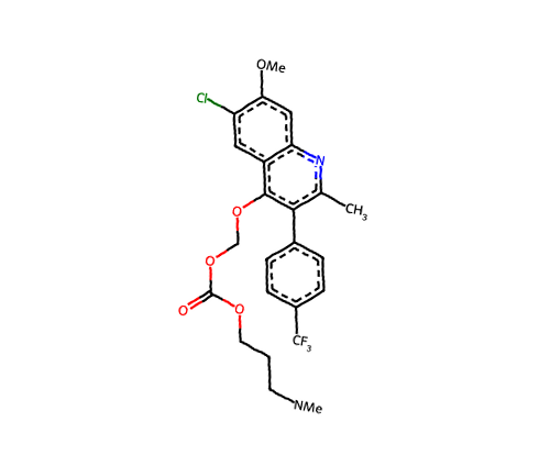 CNCCCOC(=O)OCOc1c(-c2ccc(C(F)(F)F)cc2)c(C)nc2cc(OC)c(Cl)cc12